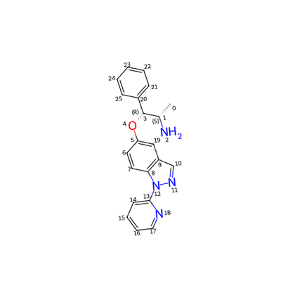 C[C@H](N)[C@H](Oc1ccc2c(cnn2-c2ccccn2)c1)c1ccccc1